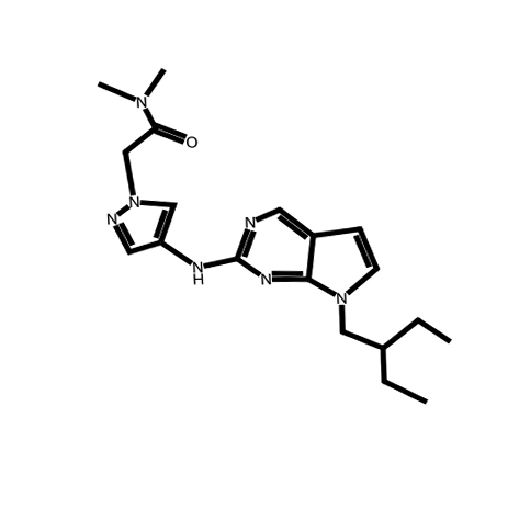 CCC(CC)Cn1ccc2cnc(Nc3cnn(CC(=O)N(C)C)c3)nc21